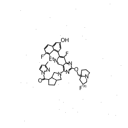 CCc1c(F)ccc2cc(O)cc(-c3ncc4c(N5CC6CCC(C(=O)n7ccc(C)n7)C6C5)nc(OC[C@@]56CCCN5C[C@H](F)C6)nc4c3F)c12